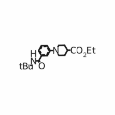 CCOC(=O)C1CCN(c2cccc(C(=O)NC(C)(C)C)c2)CC1